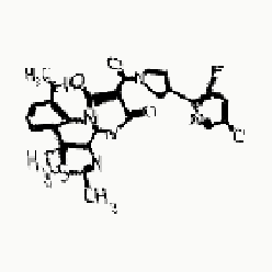 CCc1cccc(CC)c1-n1c(-c2csc(C)n2)nc(=O)c(C(=O)N2CCC(c3ncc(Cl)cc3F)C2)c1O